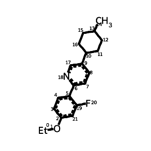 CCOc1ccc(-c2ccc(C3CCC(C)CC3)cn2)c(F)c1